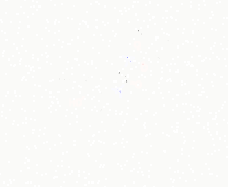 N#Cc1ccccc1S(=O)(=O)N1CC[C@@H]1C(=O)N(Cc1ccc(C2CCCCC2)cc1)c1ccc(C(=O)O)c(O)c1